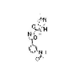 CC(=O)Nc1cccc(-c2cnc(C(=O)N[C@H]3CN4CCC3CC4C)o2)c1